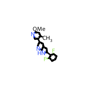 COc1cc(C)c(-c2cnc3[nH]c(-c4c(F)cccc4F)cc3c2)cn1